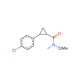 CON(C)C(=O)C1CC1c1ccc(Cl)cc1